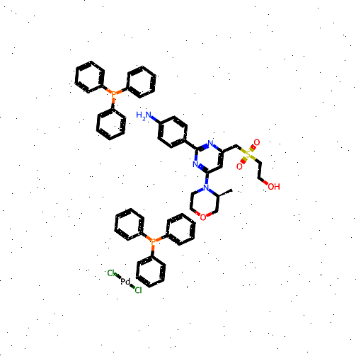 C[C@H]1COCCN1c1cc(CS(=O)(=O)CCO)nc(-c2ccc(N)cc2)n1.[Cl][Pd][Cl].c1ccc(P(c2ccccc2)c2ccccc2)cc1.c1ccc(P(c2ccccc2)c2ccccc2)cc1